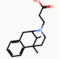 CC1C2Cc3ccccc3C1(C)CCN2CCC(=O)O